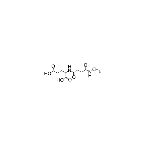 CNC(=O)CCC(=O)NC(CCC(=O)O)C(=O)O